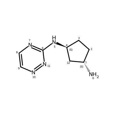 N[C@H]1CC[C@H](Nc2nccnn2)C1